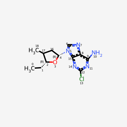 CC[C@H]1O[C@@H](n2cnc3c(N)nc(Cl)nc32)CC1C